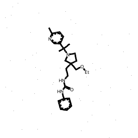 CCOCC1(CCNC(=O)Nc2ccccc2)CCN(C(C)(C)c2ccc(C)nc2)C1